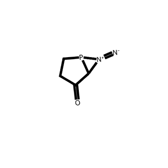 [N-]=[N+]1C2C(=O)CCP21